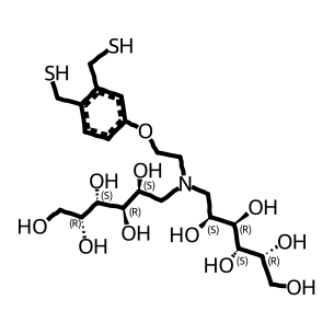 OC[C@@H](O)[C@H](O)[C@H](O)[C@@H](O)CN(CCOc1ccc(CS)c(CS)c1)C[C@H](O)[C@@H](O)[C@@H](O)[C@H](O)CO